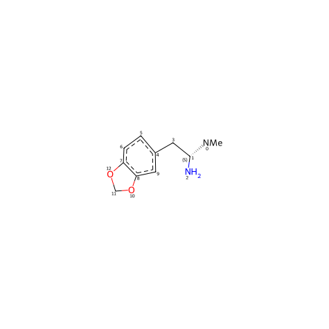 CN[C@H](N)Cc1ccc2c(c1)OCO2